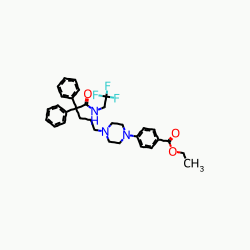 CCOC(=O)c1ccc(N2CCN(CCCC(C(=O)NCC(F)(F)F)(c3ccccc3)c3ccccc3)CC2)cc1